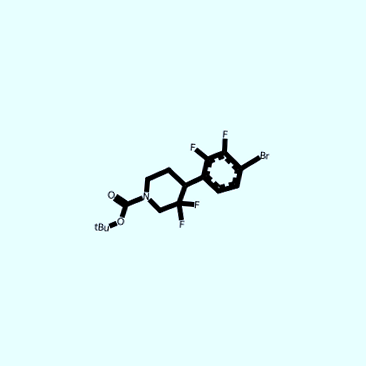 CC(C)(C)OC(=O)N1CCC(c2ccc(Br)c(F)c2F)C(F)(F)C1